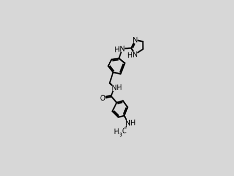 CNc1ccc(C(=O)NCc2ccc(NC3=NCCN3)cc2)cc1